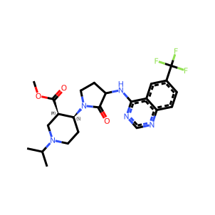 COC(=O)[C@@H]1CN(C(C)C)CC[C@@H]1N1CCC(Nc2ncnc3ccc(C(F)(F)F)cc23)C1=O